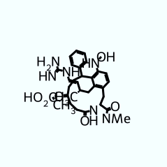 CC(=O)O.CNC(=O)C1Cc2ccc(NO)c(c2C[C@@H](C)C=CNC(=N)N)C(c2ccccc2)CCC(=O)CCC(=O)N1